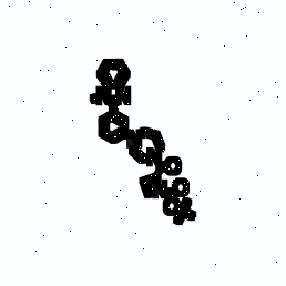 Cn1c(-c2cccc(N3CCCN(C(=O)[C@@H]4CCN4C(=O)OC(C)(C)C)CC3)c2)nc2ccccc21